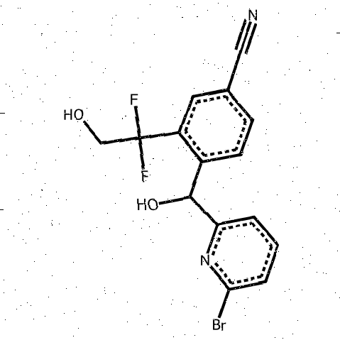 N#Cc1ccc(C(O)c2cccc(Br)n2)c(C(F)(F)CO)c1